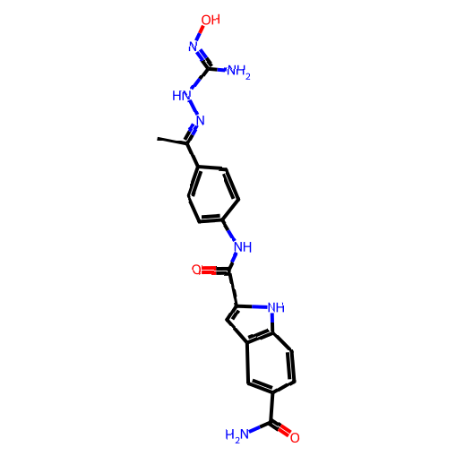 C/C(=N\N/C(N)=N/O)c1ccc(NC(=O)c2cc3cc(C(N)=O)ccc3[nH]2)cc1